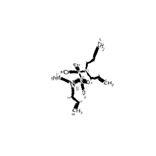 C=CCN(CC=C)S(=O)(=O)S(=O)(=O)N(CC=C)CCCCC